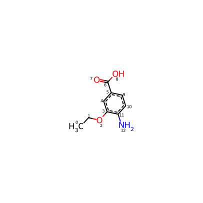 CCOc1cc(C(=O)O)ccc1N